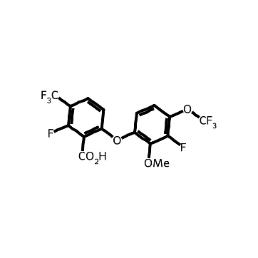 COc1c(Oc2ccc(C(F)(F)F)c(F)c2C(=O)O)ccc(OC(F)(F)F)c1F